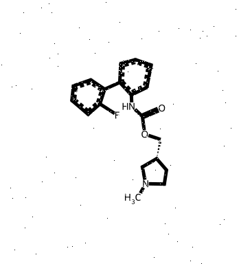 CN1CC[C@@H](COC(=O)Nc2ccccc2-c2ccccc2F)C1